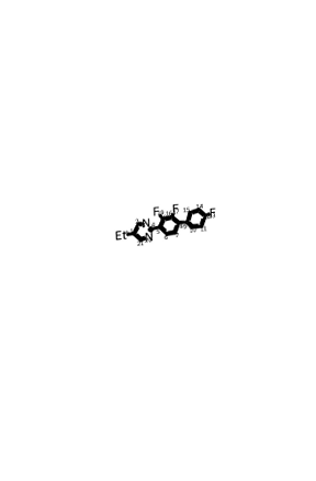 CCc1cnc(-c2ccc(-c3ccc(F)cc3)c(F)c2F)nc1